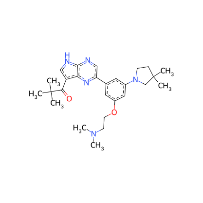 CN(C)CCOc1cc(-c2cnc3[nH]cc(C(=O)C(C)(C)C)c3n2)cc(N2CCC(C)(C)C2)c1